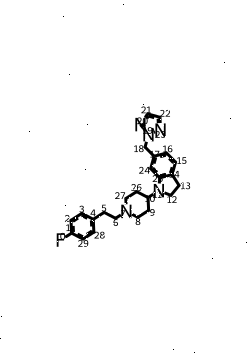 Fc1ccc(CCN2CCC(N3CCc4ccc(Cn5nccn5)cc43)CC2)cc1